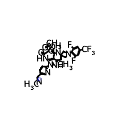 C/N=C/c1ccc(N2NC3(C)CC4(CN(c5c(F)cc(C(F)(F)F)cc5F)C4)NC(=O)C3=C2NC(=O)CS(C)(=O)=O)nc1